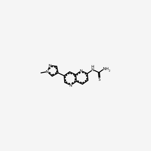 Cn1cc(-c2cnc3ccc(NC(N)=S)nc3c2)cn1